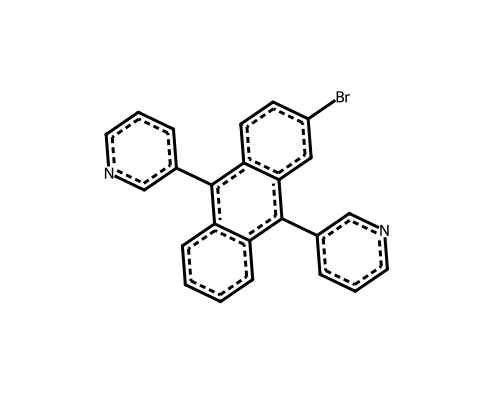 Brc1ccc2c(-c3cccnc3)c3ccccc3c(-c3cccnc3)c2c1